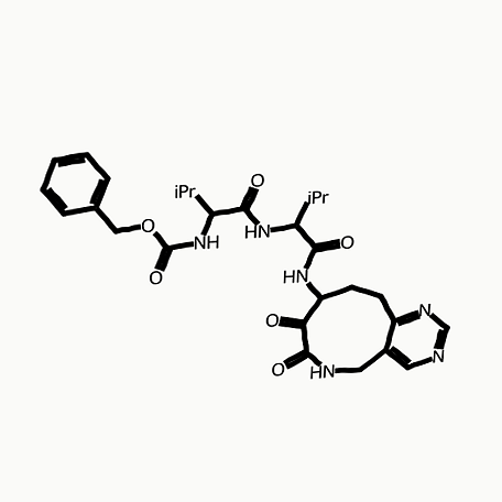 CC(C)C(NC(=O)OCc1ccccc1)C(=O)NC(C(=O)NC1CCc2ncncc2CNC(=O)C1=O)C(C)C